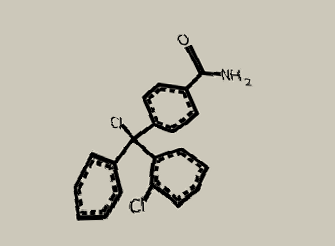 NC(=O)c1ccc(C(Cl)(c2ccccc2)c2ccccc2Cl)cc1